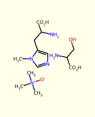 C[N+](C)(C)[O-].Cn1cncc1CC(N)C(=O)O.NC(CO)C(=O)O